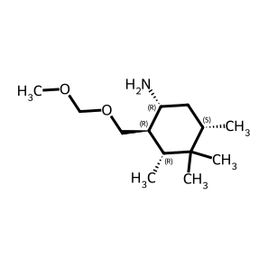 COCOC[C@H]1[C@H](N)C[C@H](C)C(C)(C)[C@@H]1C